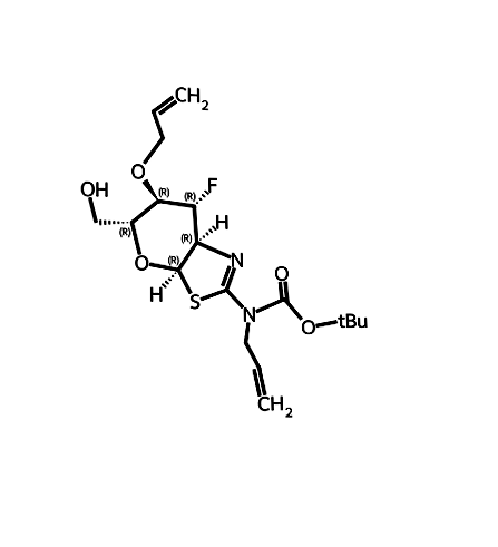 C=CCO[C@H]1[C@H](F)[C@H]2N=C(N(CC=C)C(=O)OC(C)(C)C)S[C@H]2O[C@@H]1CO